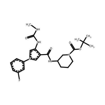 CNC(=O)Nc1cn(-c2cccc(F)c2)cc1C(=O)NC1CCCN(C(=O)OC(C)(C)C)C1